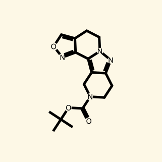 CC(C)(C)OC(=O)N1CCc2nn3c(c2C1)-c1nocc1CC3